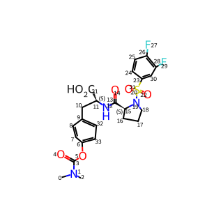 CN(C)C(=O)Oc1ccc(C[C@H](NC(=O)[C@@H]2CCCN2S(=O)(=O)c2ccc(F)c(F)c2)C(=O)O)cc1